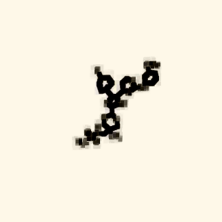 COc1cccc(Nc2nccc(-c3[nH]c(C4OCC(C)(CNS(C)(=O)=O)CO4)nc3-c3ccc(F)cc3)n2)c1